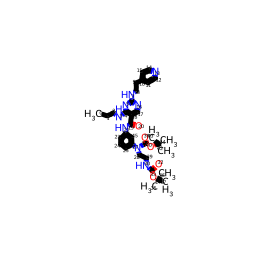 CCCNc1nc(NCCc2ccncc2)ncc1C(=O)Nc1cccc(N(CCNC(=O)OC(C)(C)C)C(=O)OC(C)(C)C)c1